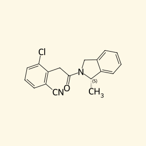 C[C@H]1c2ccccc2CN1C(=O)Cc1c(Cl)cccc1C#N